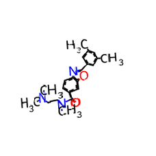 Cc1cc(C)cc(-c2nc3ccc(C(=O)N(C)CCN(C)C)cc3o2)c1